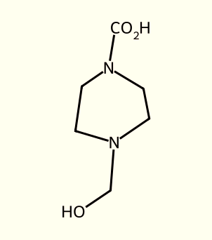 O=C(O)N1CCN(CO)CC1